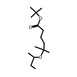 CCC(C)OC(C)(C)CCCC(=O)OC(C)(C)C